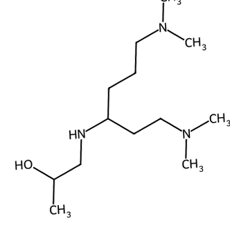 CC(O)CNC(CCCN(C)C)CCN(C)C